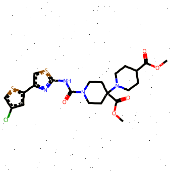 COC(=O)C1CCN(C2(C(=O)OC)CCN(C(=O)Nc3nc(-c4cc(Cl)cs4)cs3)CC2)CC1